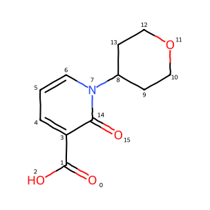 O=C(O)c1cccn(C2CCOCC2)c1=O